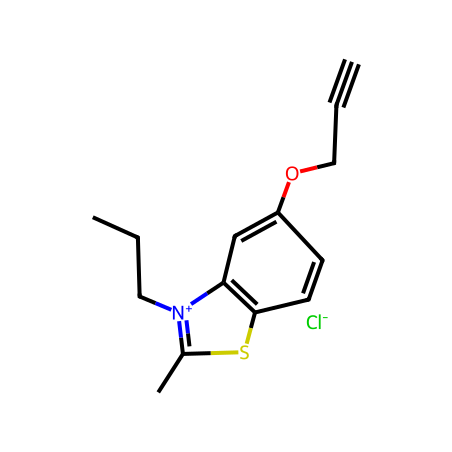 C#CCOc1ccc2sc(C)[n+](CCC)c2c1.[Cl-]